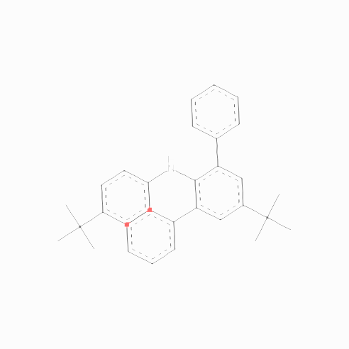 CC(C)(C)c1ccc(Nc2c(-c3ccccc3)cc(C(C)(C)C)cc2-c2ccccc2)cc1